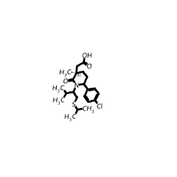 CC(C)SCC(C(C)C)N1C(=O)[C@@](C)(CC(=O)O)CCC1c1ccc(Cl)cc1